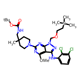 COc1nc(N2CCC(C)(CNC(=O)OC(C)(C)C)CC2)nc2c1c(Nc1cccc(Cl)c1Cl)nn2COCC[Si](C)(C)C